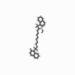 CCN1\C(=C/C=C/C=C/C=C/CC(C)(C)c2c(C)ccc3ccccc23)C(C)(C)c2c1ccc1ccccc21